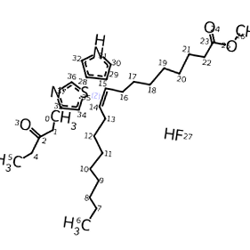 CCC(=O)CC.CCCCCCCC/C=C\CCCCCCCC(=O)OC.F.c1cc[nH]c1.c1cscn1